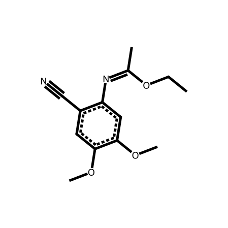 CCOC(C)=Nc1cc(OC)c(OC)cc1C#N